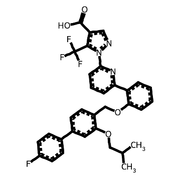 CC(C)COc1cc(-c2ccc(F)cc2)ccc1COc1ccccc1-c1cccc(-n2ncc(C(=O)O)c2C(F)(F)F)n1